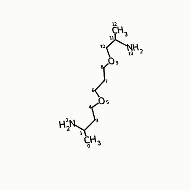 CC(N)CCOCCCOCC(C)N